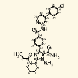 C=CC(=O)N1CCCCC1c1nc(-c2ccc(C(=O)Nc3cc(-c4ccc(Cl)cc4)ccn3)cc2)c(C(N)=O)n1N